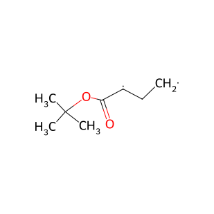 [CH2]C[CH]C(=O)OC(C)(C)C